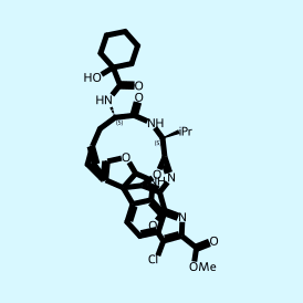 COC(=O)c1nc(-c2nc3oc2C24c5ccccc5NC2Oc2ccc(cc24)C[C@H](NC(=O)C2(O)CCCCC2)C(=O)N[C@H]3C(C)C)oc1Cl